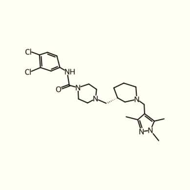 Cc1nn(C)c(C)c1CN1CCC[C@@H](CN2CCN(C(=O)Nc3ccc(Cl)c(Cl)c3)CC2)C1